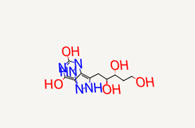 OCC[C@@H](O)[C@@H](O)CC1=C2C3=C(O)N=C(O)N2NN3N1